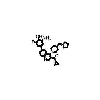 Nc1cc(-c2ccc3ncc(C(=O)C4CC4)c(N4CCC(CN5CCCC5)CC4)c3c2)cc(F)c1O